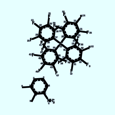 Cc1cccc([NH3+])c1C.Fc1c(F)c(F)c([B-](c2c(F)c(F)c(F)c(F)c2F)(c2c(F)c(F)c(F)c(F)c2F)c2c(F)c(F)c(F)c(F)c2F)c(F)c1F